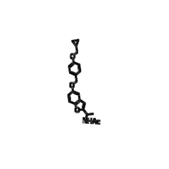 CC(=O)NC(C)c1cc2cc(OCc3ccc(OCC4CC4)cc3)ccc2o1